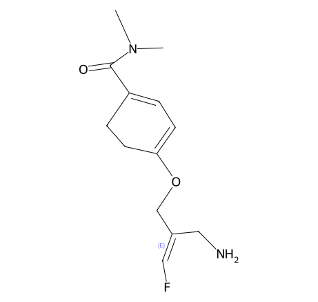 CN(C)C(=O)C1=CC=C(OC/C(=C/F)CN)CC1